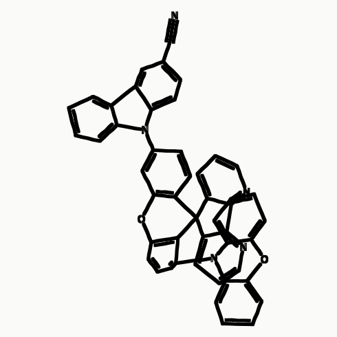 N#Cc1ccc2c(c1)c1ccccc1n2-c1ccc2c(c1)Oc1cccc(N3c4ccccc4Oc4ccccc43)c1C21c2cccnc2-c2ncccc21